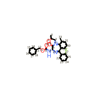 CC(=O)CN1C(=O)[C@@H](NC(=O)OCc2ccccc2)N=C(c2ccccc2F)c2cccc(C)c21